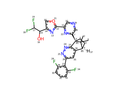 CC1(C)[C@H]2CC[C@@]1(c1cncc(-c3nc(C(O)C(F)F)co3)n1)c1nnc(-c3c(F)cccc3F)cc12